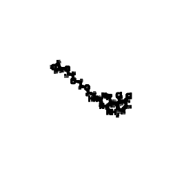 Nc1nc(NCCOCCOCCOC2COC2)nnc1-c1cccc(Cl)c1Cl